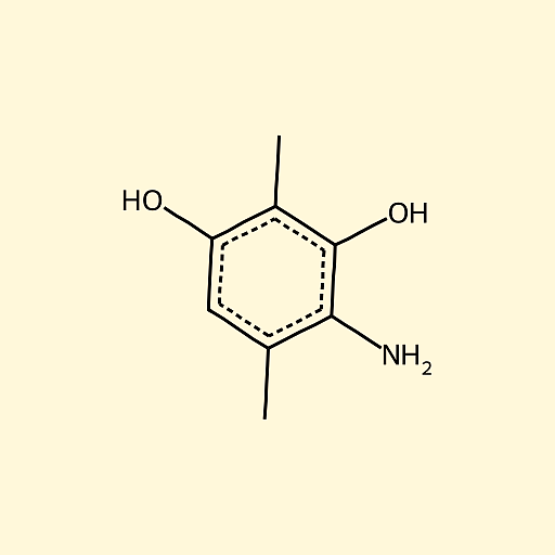 Cc1cc(O)c(C)c(O)c1N